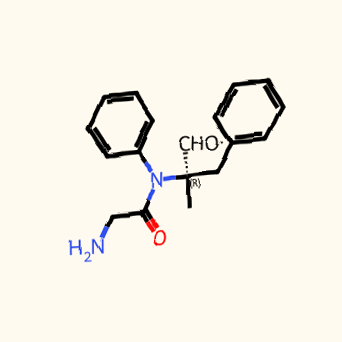 C[C@]([C]=O)(Cc1ccccc1)N(C(=O)CN)c1ccccc1